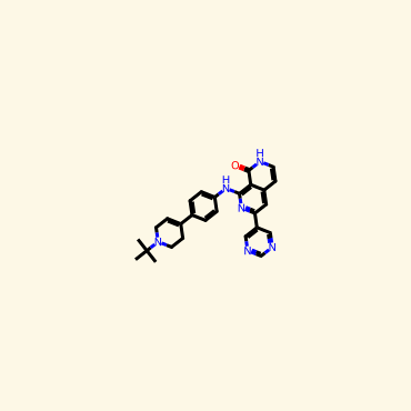 CC(C)(C)N1CC=C(c2ccc(Nc3nc(-c4cncnc4)cc4cc[nH]c(=O)c34)cc2)CC1